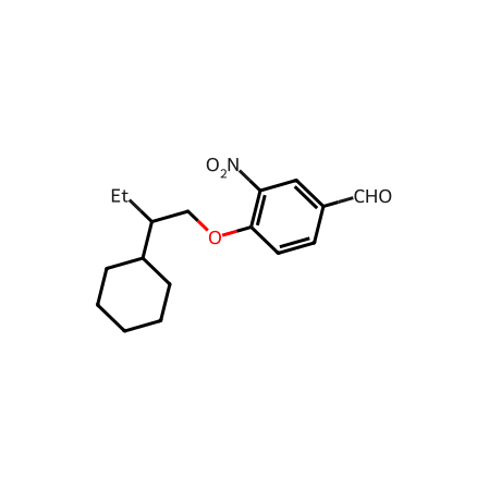 CCC(COc1ccc(C=O)cc1[N+](=O)[O-])C1CCCCC1